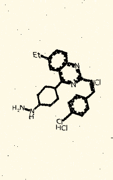 CCc1ccc2nc(/C=C\c3ccc(Cl)cc3)nc(C3CCC(NN)CC3)c2c1.Cl.Cl